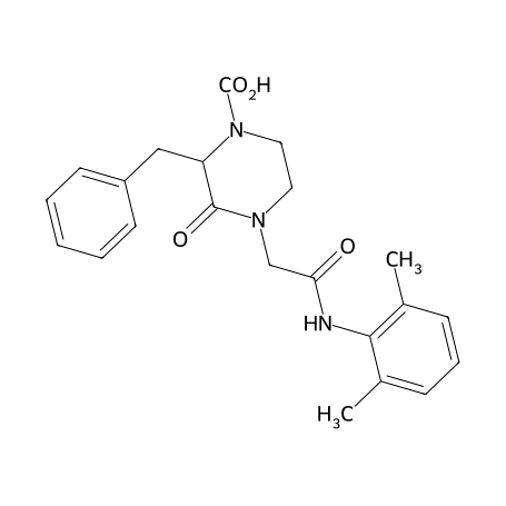 Cc1cccc(C)c1NC(=O)CN1CCN(C(=O)O)C(Cc2ccccc2)C1=O